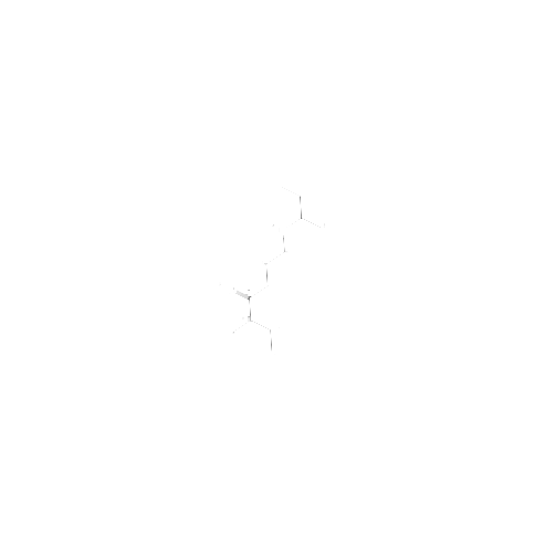 CCC(C)OCCCC(=O)C(C)CC